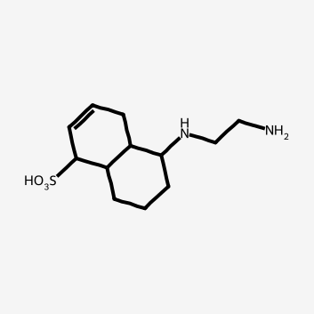 NCCNC1CCCC2C1CC=CC2S(=O)(=O)O